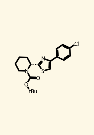 CC(C)(C)OC(=O)N1CCCC[C@@H]1c1nc(-c2ccc(Cl)cc2)cs1